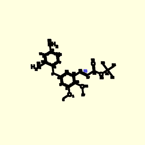 COc1cc(Cc2cnc(N)nc2N)cc(/C=C/C(=O)OC(C)(C)C)c1OC